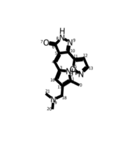 Cc1[nH]c(/C=C2/C(=O)NN=C2c2ccno2)cc1CN(C)C